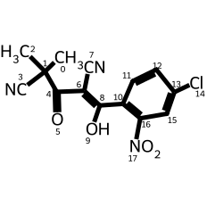 CC(C)(C#N)C(=O)/C(C#N)=C(\O)c1ccc(Cl)cc1[N+](=O)[O-]